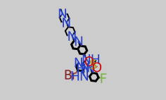 CN1CCN(C2CCN(c3ccc4cc(Nc5ncc(Br)c(Nc6ccc(F)cc6NS(C)(=O)=O)n5)ccc4n3)CC2)CC1